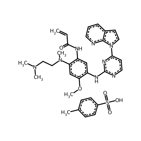 C=CC(=O)Nc1cc(Nc2nccc(-n3ccc4cccnc43)n2)c(OC)cc1N(C)CCN(C)C.Cc1ccc(S(=O)(=O)O)cc1